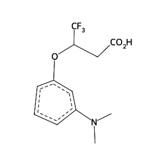 CN(C)c1cccc(OC(CC(=O)O)C(F)(F)F)c1